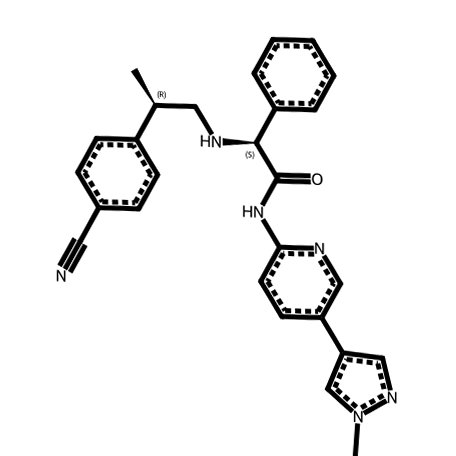 C[C@@H](CN[C@H](C(=O)Nc1ccc(-c2cnn(C)c2)cn1)c1ccccc1)c1ccc(C#N)cc1